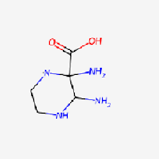 NC1NCC[N]C1(N)C(=O)O